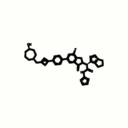 O=C(Nc1nccs1)[C@@H](c1ncn2c1CCC2)N1Cc2c(F)cc(-c3ccc(C45CC(CN6CCC[C@@H](O)CC6)(C4)C5)cc3)cc2C1=O